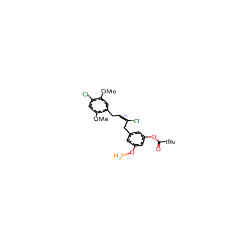 COc1cc(C/C=C(/Cl)Cc2cc(OP)cc(OC(=O)C(C)(C)C)c2)c(OC)cc1Cl